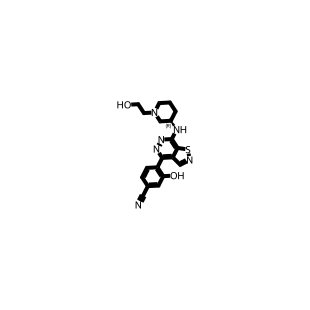 N#Cc1ccc(-c2nnc(N[C@@H]3CCCN(CCO)C3)c3sncc23)c(O)c1